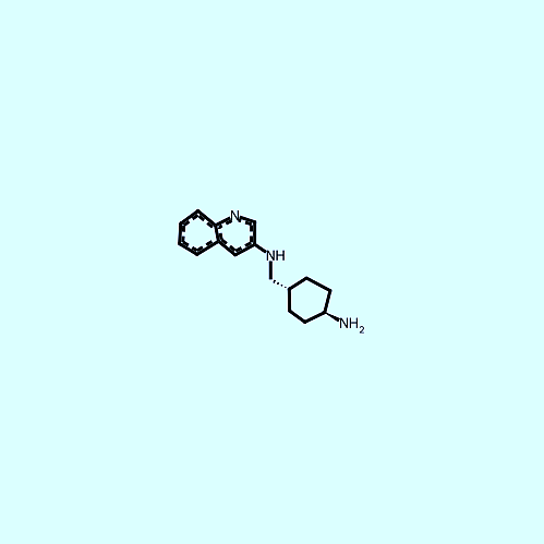 N[C@H]1CC[C@H](CNc2cnc3ccccc3c2)CC1